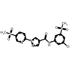 CS(=O)(=O)c1ccc(-n2cc(C(=O)Nc3cc(Cl)cc(S(C)(=O)=O)c3)cn2)nc1